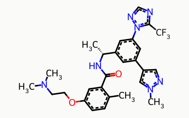 Cc1ccc(OCCN(C)C)cc1C(=O)N[C@H](C)c1cc(-c2cnn(C)c2)cc(-n2ncnc2C(F)(F)F)c1